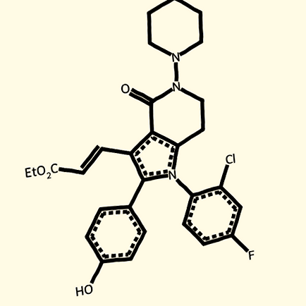 CCOC(=O)/C=C/c1c2c(n(-c3ccc(F)cc3Cl)c1-c1ccc(O)cc1)CCN(N1CCCCC1)C2=O